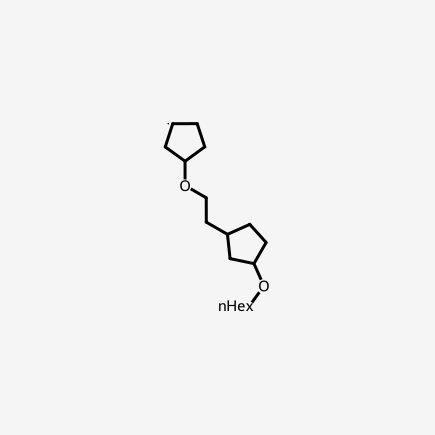 [CH2]CCCCCOC1CCC(CCOC2C[CH]CC2)C1